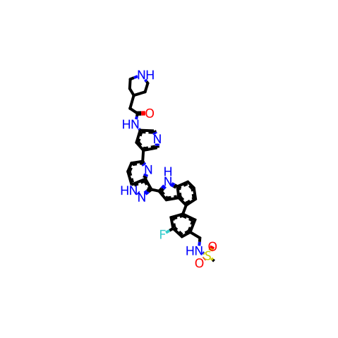 CS(=O)(=O)NCc1cc(F)cc(-c2cccc3[nH]c(-c4n[nH]c5ccc(-c6cncc(NC(=O)CC7CCNCC7)c6)nc45)cc23)c1